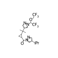 CC(C)c1cnn(C(=O)C2CC2C(C)(C)c2cnn(C(OCC(F)(F)F)C(F)(F)F)c2)c1